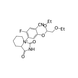 CCOCC(OCC)Oc1cc([N+]23CCCCC2C(=O)NC3=O)c(F)cc1C#N